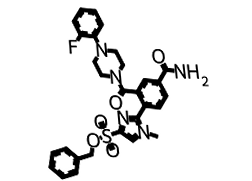 Cn1cc(S(=O)(=O)OCc2ccccc2)nc1-c1ccc(C(N)=O)cc1C(=O)N1CCN(c2ccccc2F)CC1